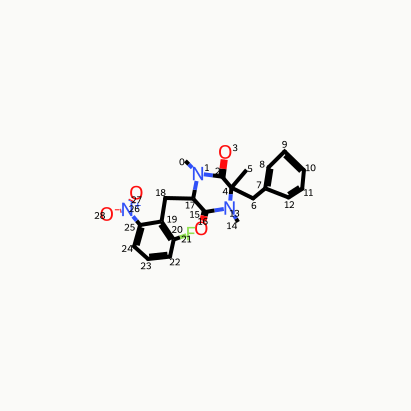 CN1C(=O)C(C)(Cc2ccccc2)N(C)C(=O)C1Cc1c(F)cccc1[N+](=O)[O-]